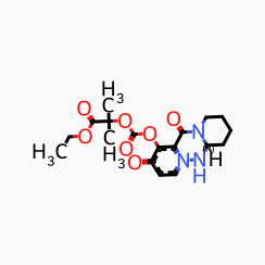 CCOC(=O)C(C)(C)OC(=O)Oc1c2n(ccc1=O)N[C@@H]1CCCCN1C2=O